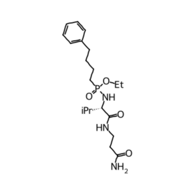 CCOP(=O)(CCCCc1ccccc1)N[C@H](C(=O)NCCC(N)=O)C(C)C